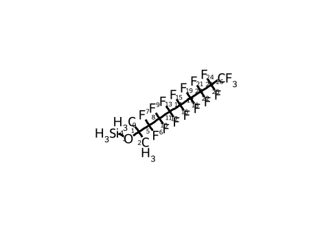 CC(C)(O[SiH3])C(F)(F)C(F)(F)C(F)(F)C(F)(F)C(F)(F)C(F)(F)C(F)(F)C(F)(F)F